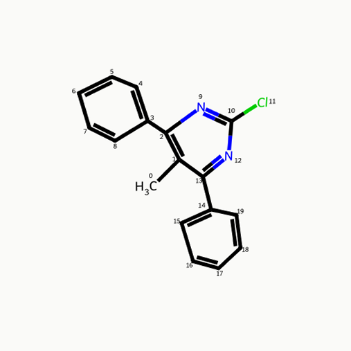 Cc1c(-c2ccccc2)nc(Cl)nc1-c1ccccc1